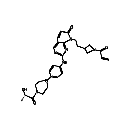 C=CC(=O)N1CC(CCn2c(=O)ccc3cnc(Nc4ccc(N5CCN(C(=O)[C@H](C)O)CC5)cc4)nc32)C1